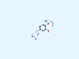 Cc1cc(C2(C(F)(F)F)CCCO2)c(C=O)cc1/N=C/N(C)C(C)C